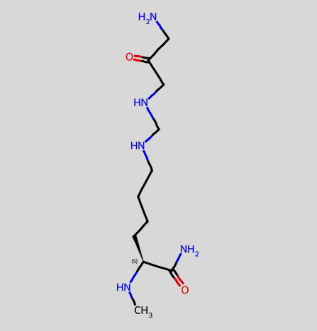 CN[C@@H](CCCCNCNCC(=O)CN)C(N)=O